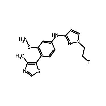 Cc1ncsc1-c1ccc(Nc2ccn(CCF)n2)cc1SN